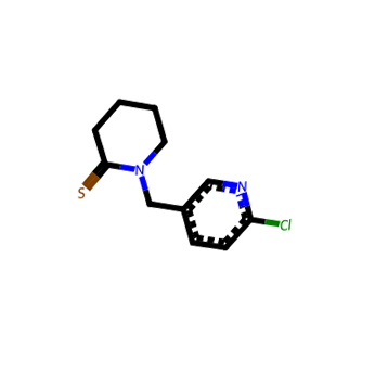 S=C1CCCCN1Cc1ccc(Cl)nc1